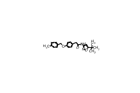 Cc1ccc(COc2ccc(CC(=O)Nc3cc(C(C)(C)C)on3)cc2)cc1